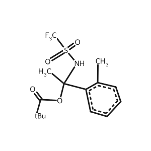 Cc1ccccc1C(C)(NS(=O)(=O)C(F)(F)F)OC(=O)C(C)(C)C